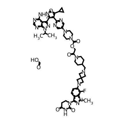 CC(C)n1nc(-c2noc(C3CC3)c2-c2ncc(N3CCN(C(=O)OCC(=O)N4CCC(CN5CC6(C5)CN(c5ccc7c(N8CCC(=O)NC8=O)nn(C)c7c5F)C6)CC4)CC3)cn2)c2c(N)ncnc21.O=CO